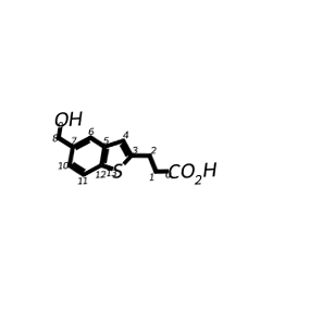 O=C(O)CCc1cc2cc(CO)ccc2s1